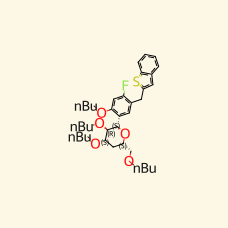 CCCCOC[C@@H]1C[C@H](OCCCC)[C@@H](OCCCC)[C@H](c2cc(Cc3cc4ccccc4s3)c(F)cc2OCCCC)O1